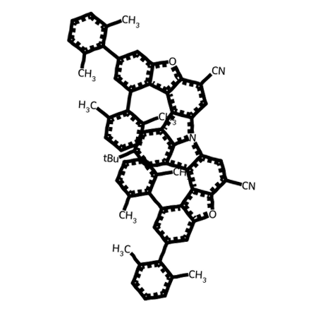 Cc1cccc(C)c1-c1cc(-c2c(C)cccc2C)c2c(c1)oc1c(C#N)cc3c(c4cc(C(C)(C)C)cc5c6c7c(oc8cc(-c9c(C)cccc9C)cc(-c9c(C)cccc9C)c87)c(C#N)cc6n3c45)c12